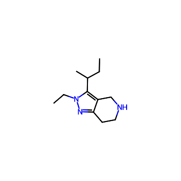 CCC(C)c1c2c(nn1CC)CCNC2